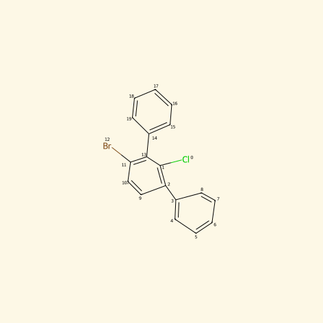 Clc1c(-c2ccccc2)c[c]c(Br)c1-c1ccccc1